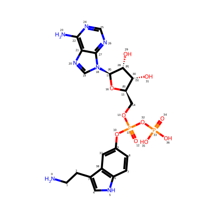 NCCc1c[nH]c2ccc(OP(=O)(OC[C@H]3O[C@@H](n4cnc5c(N)ncnc54)[C@H](O)[C@@H]3O)OP(=O)(O)O)cc12